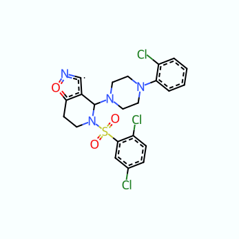 O=S(=O)(c1cc(Cl)ccc1Cl)N1CCc2on[c]c2C1N1CCN(c2ccccc2Cl)CC1